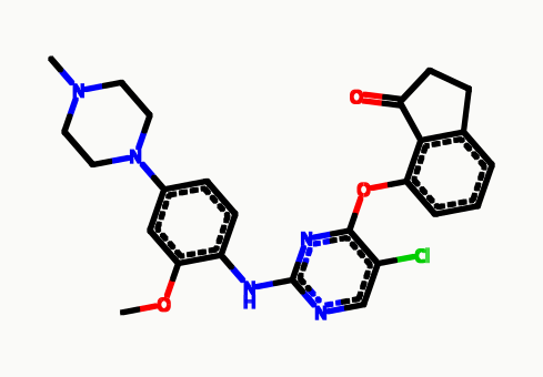 COc1cc(N2CCN(C)CC2)ccc1Nc1ncc(Cl)c(Oc2cccc3c2C(=O)CC3)n1